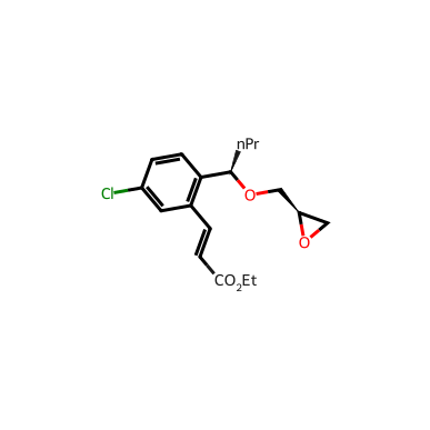 CCC[C@@H](OC[C@H]1CO1)c1ccc(Cl)cc1/C=C/C(=O)OCC